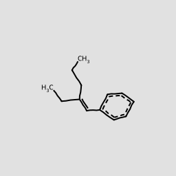 CCCC(=Cc1ccccc1)CC